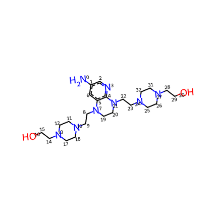 Nc1cnc2c(c1)N(CCN1CCN(CCO)CC1)CCN2CCN1CCN(CCO)CC1